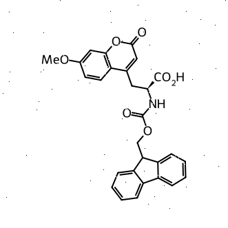 COc1ccc2c(C[C@H](NC(=O)OCC3c4ccccc4-c4ccccc43)C(=O)O)cc(=O)oc2c1